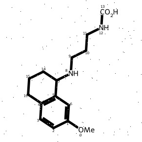 COc1ccc2c(c1)C(NCCCNC(=O)O)CCC2